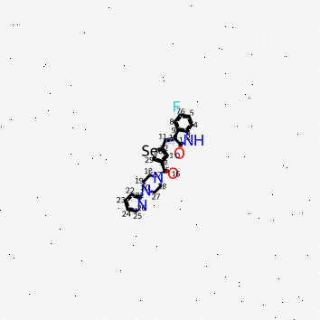 O=C1Nc2ccc(F)cc2/C1=C/c1cc(C(=O)N2CCN(c3ccccn3)CC2)c[se]1